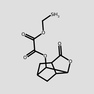 O=C(OC[SiH3])C(=O)OC1C2CC3C(=O)OC1C3C2